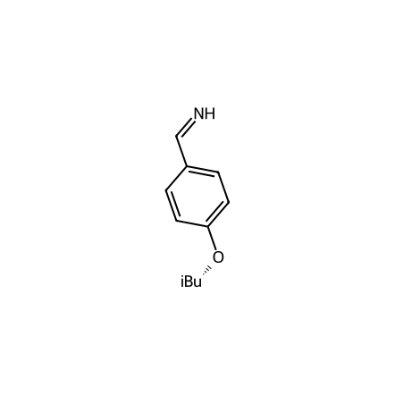 CC[C@@H](C)Oc1ccc(C=N)cc1